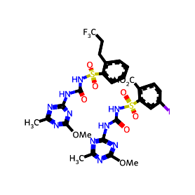 COc1nc(C)nc(NC(=O)NS(=O)(=O)c2cc(I)ccc2C(=O)O)n1.COc1nc(C)nc(NC(=O)NS(=O)(=O)c2ccccc2CCC(F)(F)F)n1